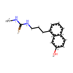 CCCNC(=S)NCCCc1cccc2ccc(O)cc12